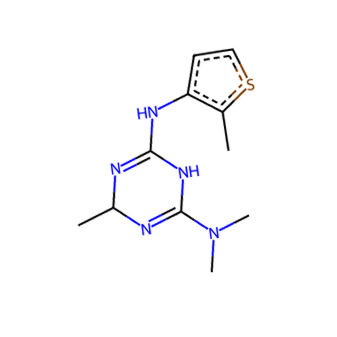 Cc1sccc1NC1=NC(C)N=C(N(C)C)N1